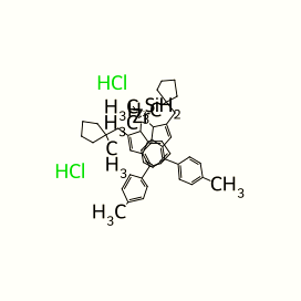 Cc1ccc(-c2cccc3c2C=C(CC2(C)CCCC2)[CH]3[Zr]([CH3])([CH3])(=[SiH2])[CH]2C(CC3(C)CCCC3)=Cc3c(-c4ccc(C)cc4)cccc32)cc1.Cl.Cl